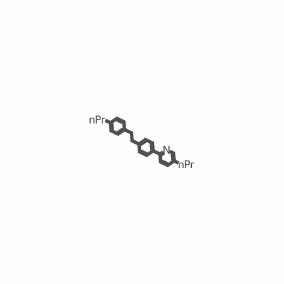 CCCc1ccc(CCc2ccc(-c3ccc(CCC)cn3)cc2)cc1